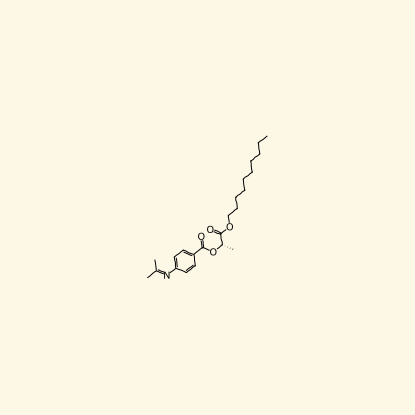 CCCCCCCCCCOC(=O)[C@H](C)OC(=O)c1ccc(N=C(C)C)cc1